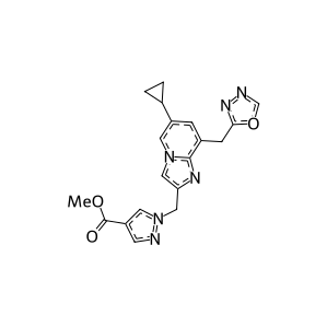 COC(=O)c1cnn(Cc2cn3cc(C4CC4)cc(Cc4nnco4)c3n2)c1